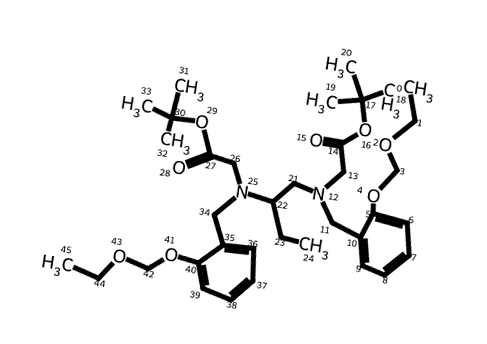 CCOCOc1ccccc1CN(CC(=O)OC(C)(C)C)CC(CC)N(CC(=O)OC(C)(C)C)Cc1ccccc1OCOCC